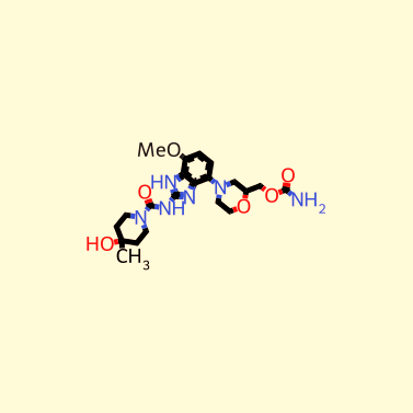 COc1ccc(N2CCOC(COC(N)=O)C2)c2nc(NC(=O)N3CCC(C)(O)CC3)[nH]c12